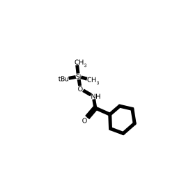 CC(C)(C)[Si](C)(C)ONC(=O)C1CCCCC1